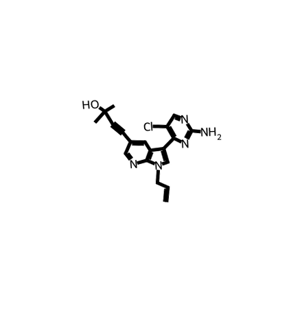 C=CCn1cc(-c2nc(N)ncc2Cl)c2cc(C#CC(C)(C)O)cnc21